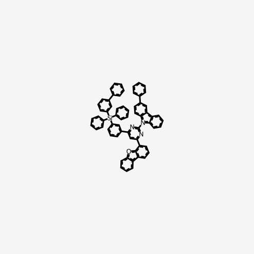 c1ccc(-c2cccc([Si](c3ccccc3)(c3ccccc3)c3cccc(-c4cc(-c5cccc6c5oc5ccccc56)nc(-n5c6ccccc6c6cc(-c7ccccc7)ccc65)n4)c3)c2)cc1